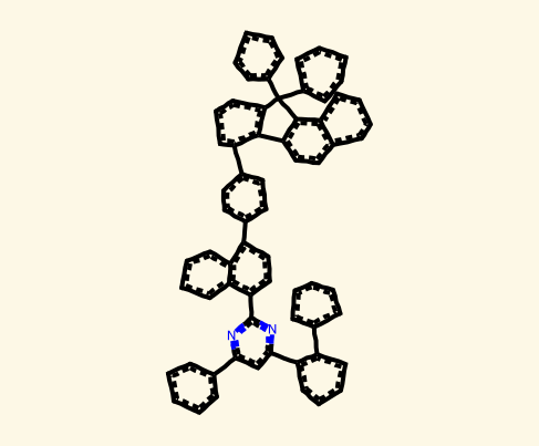 c1ccc(-c2cc(-c3ccccc3-c3ccccc3)nc(-c3ccc(-c4ccc(-c5cccc6c5-c5ccc7ccccc7c5C6(c5ccccc5)c5ccccc5)cc4)c4ccccc34)n2)cc1